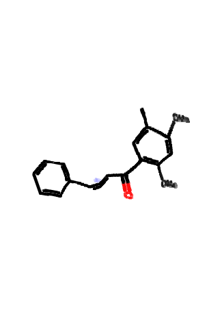 COc1cc(OC)c(C(=O)/C=C/c2ccccc2)cc1C